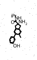 Cc1cc2c(cc1-c1cccc(O)c1)C[C@@](N)(C(=O)NC(C)C)C2